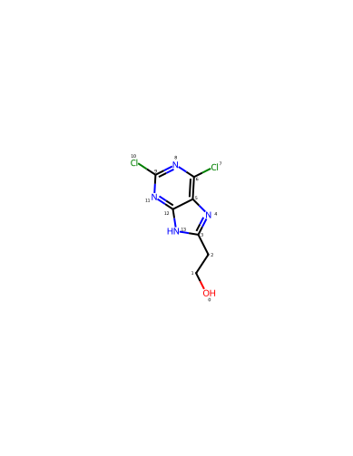 OCCc1nc2c(Cl)nc(Cl)nc2[nH]1